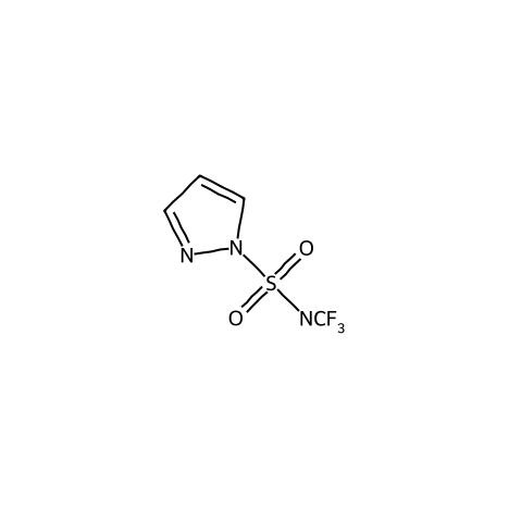 O=S(=O)(NC(F)(F)F)n1cccn1